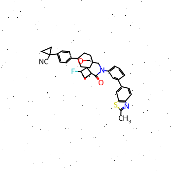 Cc1nc2ccc(-c3cccc(N(CC45CCC(c6ccc(C7(C#N)CC7)cc6)(CC4)OC5)C(=O)C45CC(F)(C4)C5)c3)cc2s1